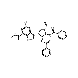 C=C[C@H]1O[C@@H](n2cnc3c(NOC)nc(Cl)nc32)[C@H](OC(=O)c2ccccc2)[C@@H]1OC(=O)c1ccccc1